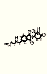 C=NCCNCc1ccc2c(c1)C(=O)N(C1CCC(=O)NC1=O)C2=O